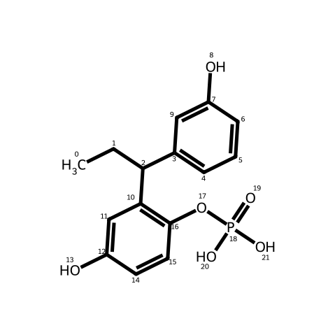 CCC(c1cccc(O)c1)c1cc(O)ccc1OP(=O)(O)O